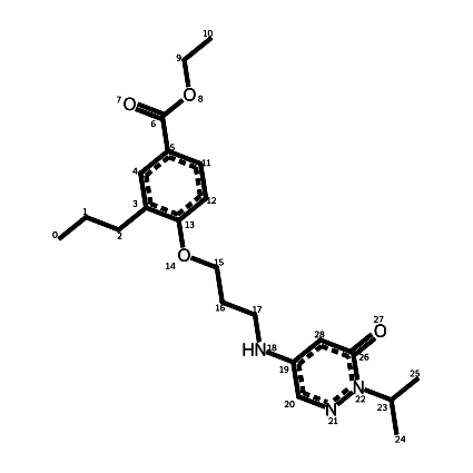 CCCc1cc(C(=O)OCC)ccc1OCCCNc1cnn(C(C)C)c(=O)c1